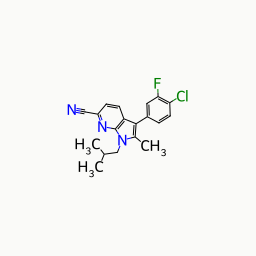 Cc1c(-c2ccc(Cl)c(F)c2)c2ccc(C#N)nc2n1CC(C)C